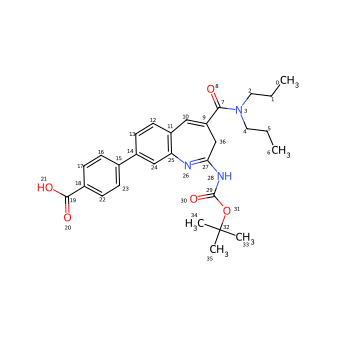 CCCN(CCC)C(=O)C1=Cc2ccc(-c3ccc(C(=O)O)cc3)cc2N=C(NC(=O)OC(C)(C)C)C1